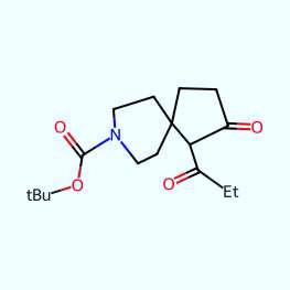 CCC(=O)C1C(=O)CCC12CCN(C(=O)OC(C)(C)C)CC2